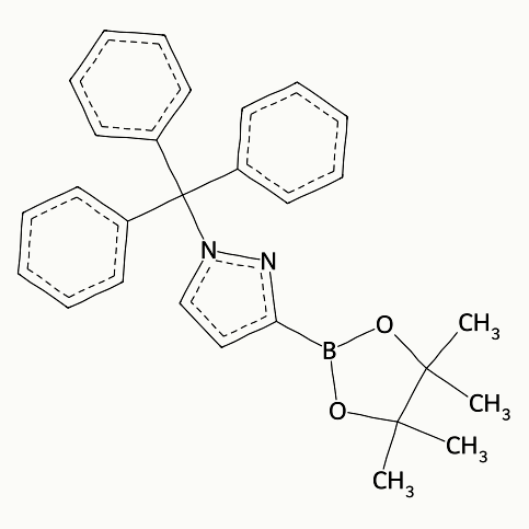 CC1(C)OB(c2ccn(C(c3ccccc3)(c3ccccc3)c3ccccc3)n2)OC1(C)C